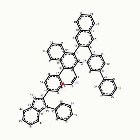 CC/C=C\c1c(C)c(-c2cc3ccccc3cc2-c2ccc(-c3ccccc3)cc2)c2ccccc2c1-c1ccc(-c2nc3ccccc3n2-c2ccccc2)cc1